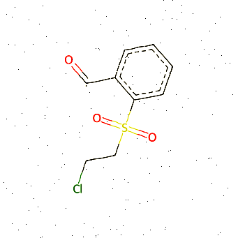 O=[C]c1ccccc1S(=O)(=O)CCCl